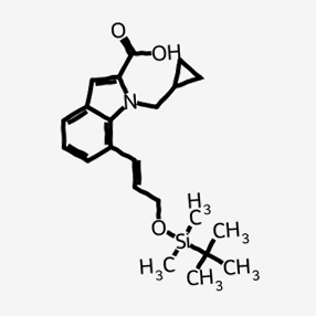 CC(C)(C)[Si](C)(C)OCC=Cc1cccc2cc(C(=O)O)n(CC3CC3)c12